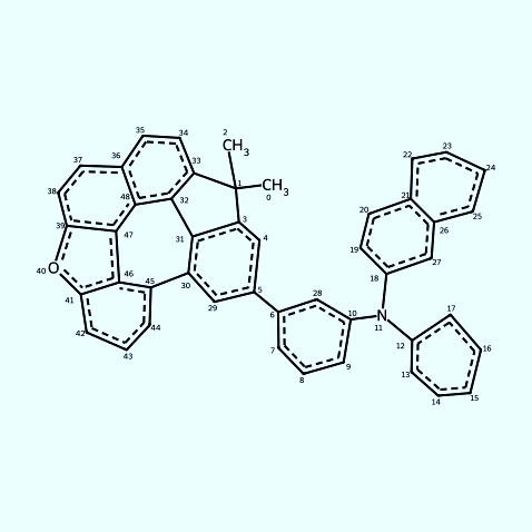 CC1(C)c2cc(-c3cccc(N(c4ccccc4)c4ccc5ccccc5c4)c3)cc3c2-c2c1ccc1ccc4oc5cccc-3c5c4c21